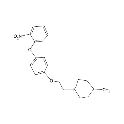 CC1CCN(CCOc2ccc(Oc3ccccc3[N+](=O)[O-])cc2)CC1